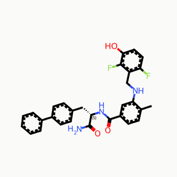 Cc1ccc(C(=O)N[C@@H](Cc2ccc(-c3ccccc3)cc2)C(N)=O)cc1NCc1c(F)ccc(O)c1F